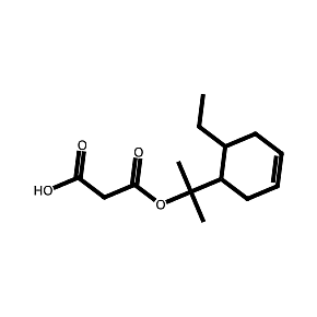 CCC1CC=CCC1C(C)(C)OC(=O)CC(=O)O